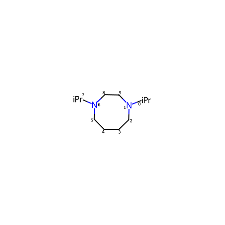 CC(C)N1CCCCN(C(C)C)CC1